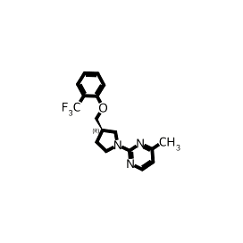 Cc1ccnc(N2CC[C@@H](COc3ccccc3C(F)(F)F)C2)n1